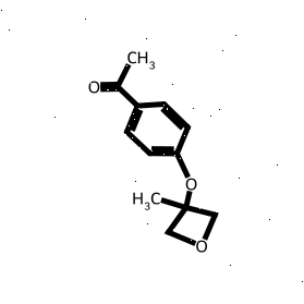 CC(=O)c1ccc(OC2(C)COC2)cc1